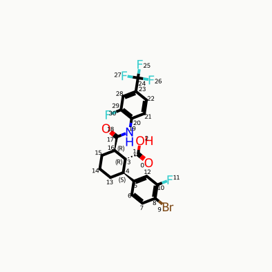 O=C(O)[C@@H]1[C@@H](c2ccc(Br)c(F)c2)CCC[C@H]1C(=O)Nc1ccc(C(F)(F)F)cc1F